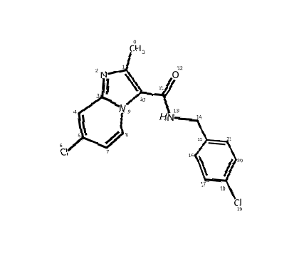 Cc1nc2cc(Cl)ccn2c1C(=O)NCc1ccc(Cl)cc1